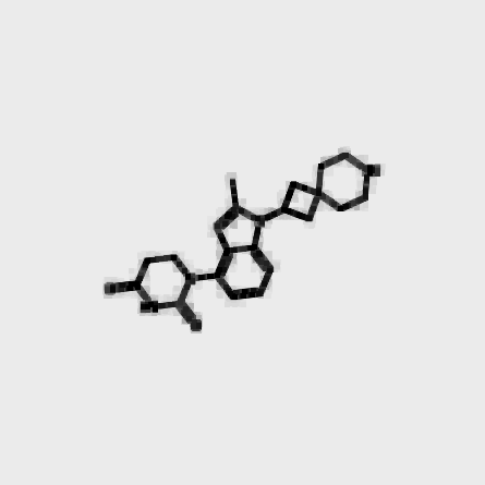 Cc1cc2c(N3CCC(=O)NC3=O)cccc2n1C1CC2(CCNCC2)C1